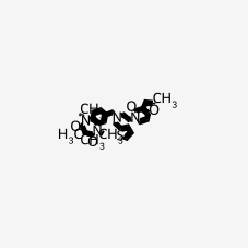 CCN1C(=O)C(C)(C)C(=O)N(C)c2cc(CN(CCn3ccc4oc(C)cc4c3=O)Cc3cccs3)ccc21